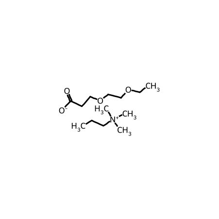 CCC[N+](C)(C)C.CCOCCOCCC(=O)[O-]